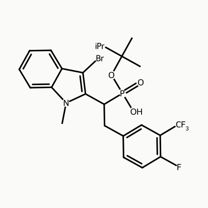 CC(C)C(C)(C)OP(=O)(O)C(Cc1ccc(F)c(C(F)(F)F)c1)c1c(Br)c2ccccc2n1C